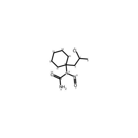 CC(Cl)CC1(N(N=O)C(N)=O)CCCCC1